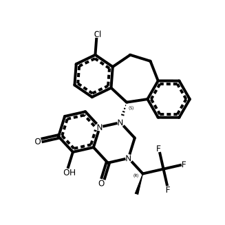 C[C@@H](N1CN([C@H]2c3ccccc3CCc3c(Cl)cccc32)n2ccc(=O)c(O)c2C1=O)C(F)(F)F